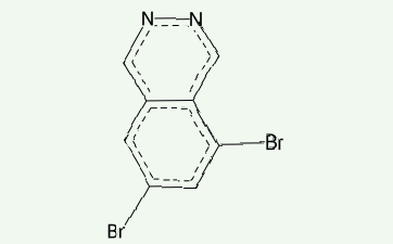 Brc1cc(Br)c2cnncc2c1